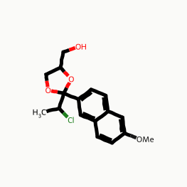 COc1ccc2cc(C3(C(C)Cl)OCC(CO)O3)ccc2c1